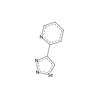 c1ccc(-c2c[se]nn2)nc1